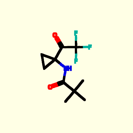 CC(C)(C)C(=O)NC1(C(=O)C(F)(F)F)CC1